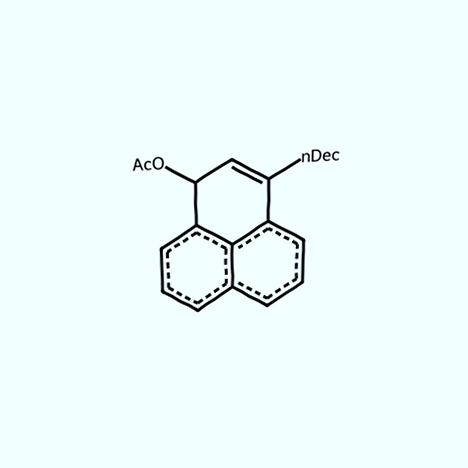 CCCCCCCCCCC1=CC(OC(C)=O)c2cccc3cccc1c23